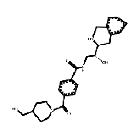 O=C(NC[C@@H](O)[C@@H]1Cc2ccccc2CN1)c1ccc(C(=O)N2CCC(CO)CC2)cc1